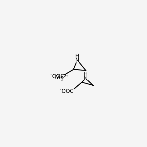 O=C([O-])C1CN1.O=C([O-])C1CN1.[Mg+2]